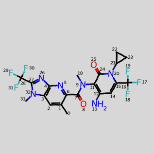 Cc1cc2c(nc1C(=O)N(C)c1c(N)cc(C(F)(F)F)n(C3CC3)c1=O)nc(C(F)(F)F)n2C